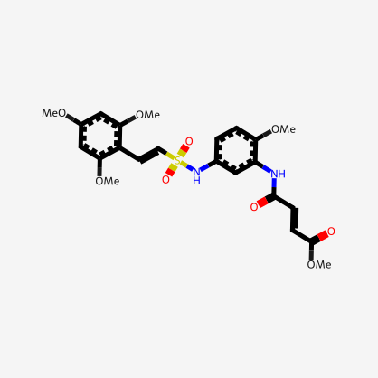 COC(=O)/C=C/C(=O)Nc1cc(NS(=O)(=O)/C=C/c2c(OC)cc(OC)cc2OC)ccc1OC